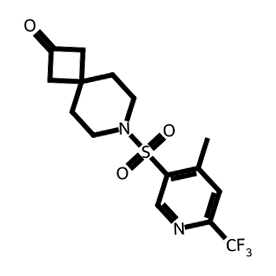 Cc1cc(C(F)(F)F)ncc1S(=O)(=O)N1CCC2(CC1)CC(=O)C2